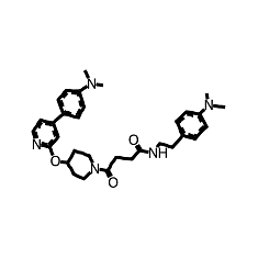 CN(C)c1ccc(CCNC(=O)CCC(=O)N2CCC(Oc3cc(-c4ccc(N(C)C)cc4)ccn3)CC2)cc1